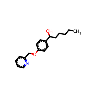 CCCCCC(O)c1ccc(OCc2ccccn2)cc1